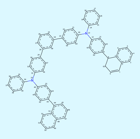 C1=Cc2ccccc2C(c2ccc(N(c3ccccc3)c3ccc(-c4cccc(-c5ccc(N(c6ccccc6)c6ccc(-c7cccc8ccccc78)cc6)cc5)c4)cc3)cc2)C1